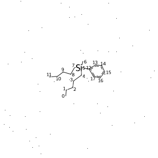 CCCCC[Si](C)(CCCCC)c1cc[c]cc1